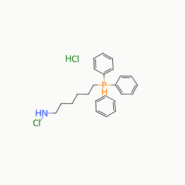 Cl.ClNCCCCCC[PH](c1ccccc1)(c1ccccc1)c1ccccc1